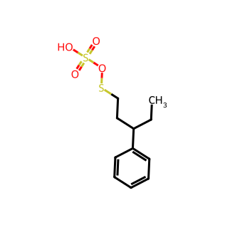 CCC(CCSOS(=O)(=O)O)c1ccccc1